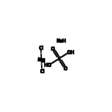 O=S(=O)(O)O.[Cl][Mg][Cl].[NaH]